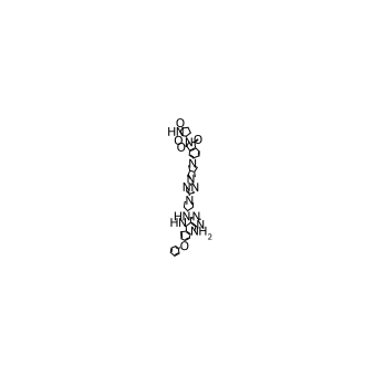 N=C(c1ccc(Oc2ccccc2)cc1)c1c(N)ncnc1NC1CCN(c2cnc(N3CC4CN(c5ccc6c(c5)C(=O)N(C5CCC(=O)NC5=O)C6=O)CC4C3)nc2)CC1